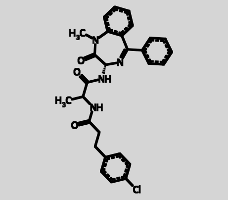 CC(NC(=O)CCc1ccc(Cl)cc1)C(=O)N[C@H]1N=C(c2ccccc2)c2ccccc2N(C)C1=O